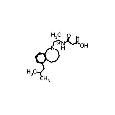 CC(C)Cc1cccc2c1CCCCN(C[C@H](C)NC(=O)CNO)C2